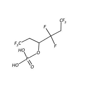 O=P(O)(O)OC(CC(F)(F)F)C(F)(F)CC(F)(F)F